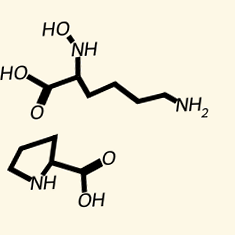 NCCCCC(NO)C(=O)O.O=C(O)C1CCCN1